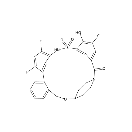 O=C1c2cc(Cl)c(O)c(c2)S(=O)(=O)Nc2cc(c(F)cc2F)-c2ccccc2COC2CCN1CC2